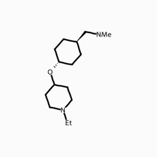 CCN1CCC(O[C@H]2CC[C@H](CNC)CC2)CC1